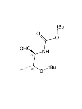 C[C@@H](OC(C)(C)C)[C@@H](C=O)NC(=O)OC(C)(C)C